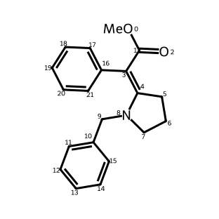 COC(=O)C(=C1CCCN1Cc1ccccc1)c1ccccc1